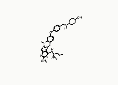 CCCC(N)Nc1nc(N)nc2cnn(Cc3ccc(Oc4ccc(CNC5CCC(O)CC5)cc4)cc3OC)c12